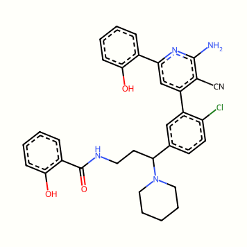 N#Cc1c(-c2cc(C(CCNC(=O)c3ccccc3O)N3CCCCC3)ccc2Cl)cc(-c2ccccc2O)nc1N